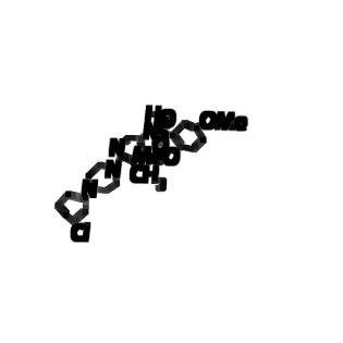 COc1ccc(OC)c(S(=O)(=O)Nc2cnc(N3CCN(c4cccc(Cl)c4)CC3)c(C)c2)c1